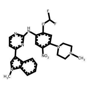 CN1CCN(c2cc(OC(F)F)c(Nc3nccc(-c4cn(C)c5ccccc45)n3)cc2[N+](=O)[O-])CC1